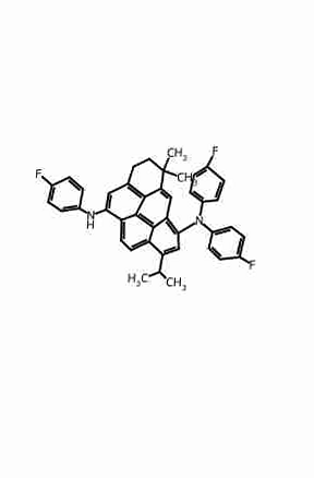 CC(C)c1cc(N(c2ccc(F)cc2)c2ccc(F)cc2)c2cc3c4c(cc(Nc5ccc(F)cc5)c5ccc1c2c54)CCC3(C)C